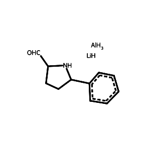 O=CC1CCC(c2ccccc2)N1.[AlH3].[LiH]